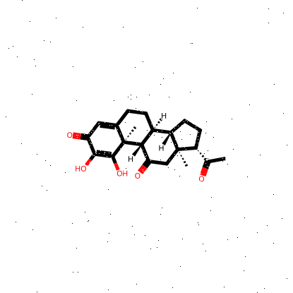 CC(=O)[C@H]1CC[C@H]2[C@@H]3CCC4=CC(=O)C(O)=C(O)[C@]4(C)[C@H]3C(=O)C[C@]12C